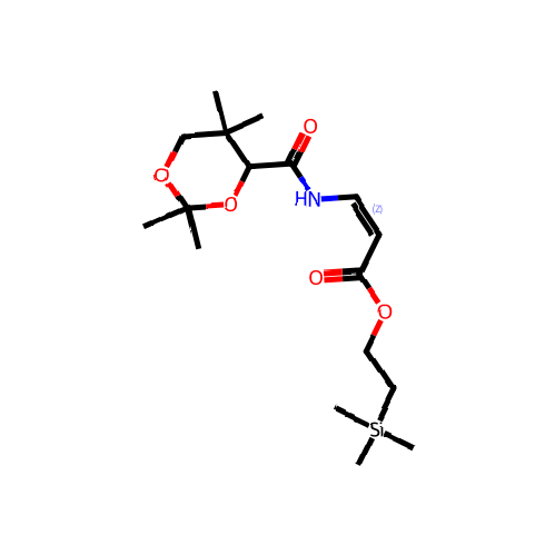 CC1(C)OCC(C)(C)C(C(=O)N/C=C\C(=O)OCC[Si](C)(C)C)O1